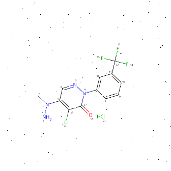 CN(N)c1cnn(-c2cccc(C(F)(F)F)c2)c(=O)c1Cl.Cl